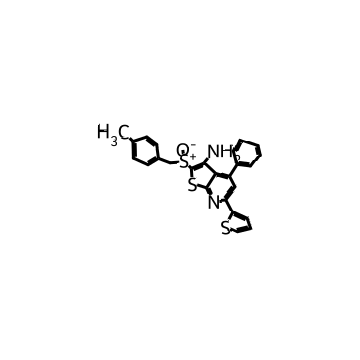 Cc1ccc(C[S+]([O-])c2sc3nc(-c4cccs4)cc(-c4ccccc4)c3c2N)cc1